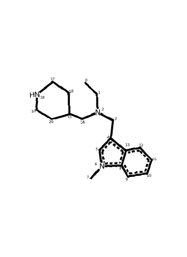 CCN(Cc1cn(C)c2ccccc12)CC1CCNCC1